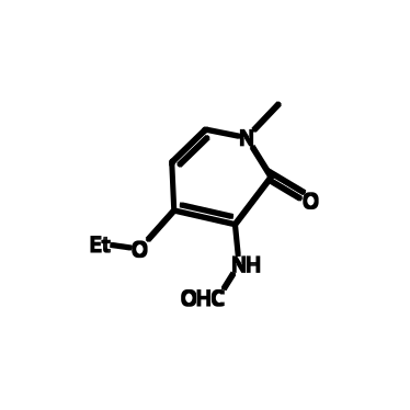 CCOc1ccn(C)c(=O)c1NC=O